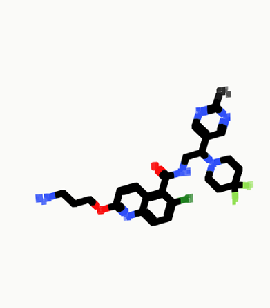 NCCCOc1ccc2c(C(=O)NCC(c3cnc(C(F)(F)F)nc3)N3CCC(F)(F)CC3)c(Cl)ccc2n1